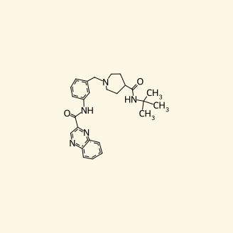 CC(C)(C)NC(=O)C1CCN(Cc2cccc(NC(=O)c3cnc4ccccc4n3)c2)CC1